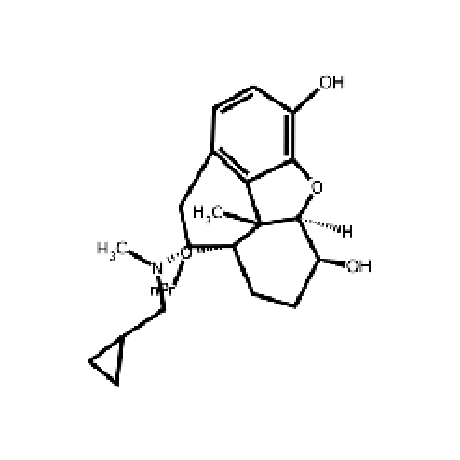 CCCO[C@@]12CC[C@H](O)[C@@H]3Oc4c(O)ccc(c4C31C)C[C@H]2N(C)CC1CC1